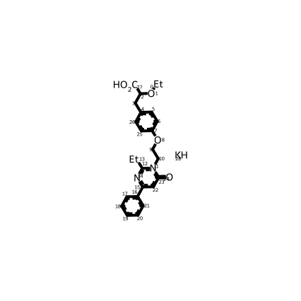 CCOC(Cc1ccc(OCCn2c(CC)nc(-c3ccccc3)cc2=O)cc1)C(=O)O.[KH]